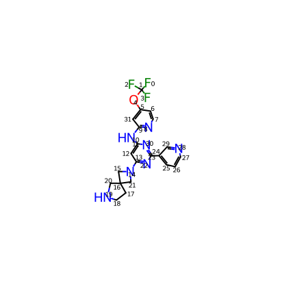 FC(F)(F)Oc1ccnc(Nc2cc(N3CC4(CCNC4)C3)nc(-c3cccnc3)n2)c1